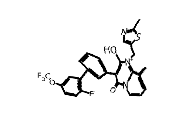 Cc1ncc(C[n+]2c(O)c(-c3cccc(-c4cc(OC(F)(F)F)ccc4F)c3)c(=O)n3cccc(C)c32)s1